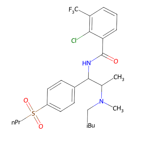 CCCS(=O)(=O)c1ccc(C(NC(=O)c2cccc(C(F)(F)F)c2Cl)C(C)N(C)CC(C)CC)cc1